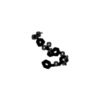 O=C(Oc1ccc([N+](=O)[O-])cc1)n1ccc2cc(Oc3cc(COCc4ccccc4)ncn3)ccc21